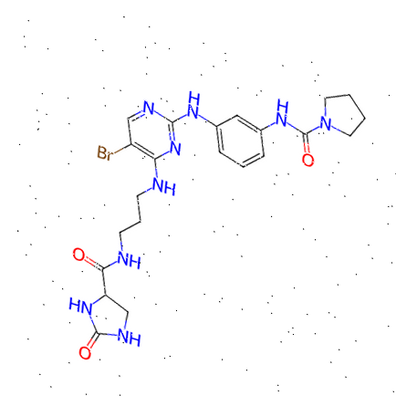 O=C1NCC(C(=O)NCCCNc2nc(Nc3cccc(NC(=O)N4CCCC4)c3)ncc2Br)N1